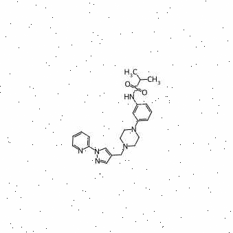 CC(C)S(=O)(=O)Nc1cccc(N2CCN(Cc3cnn(-c4ccccn4)c3)CC2)c1